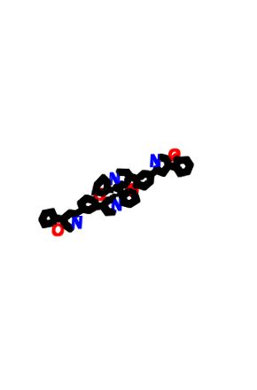 c1ccc([Si](c2ccccc2)(c2nccc3c2oc2ccc(-c4cc5c(cn4)oc4ccccc45)cc23)c2nccc3c2oc2ccc(-c4cc5c(cn4)oc4ccccc45)cc23)cc1